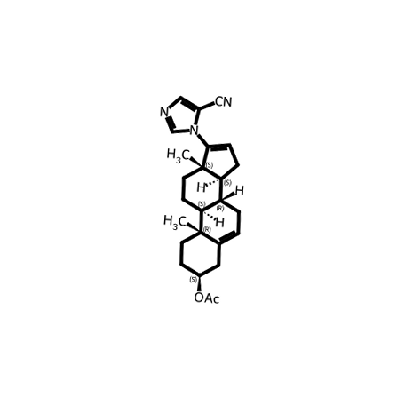 CC(=O)O[C@H]1CC[C@@]2(C)C(=CC[C@@H]3[C@@H]2CC[C@]2(C)C(n4cncc4C#N)=CC[C@@H]32)C1